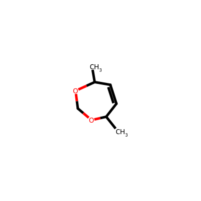 CC1C=CC(C)OCO1